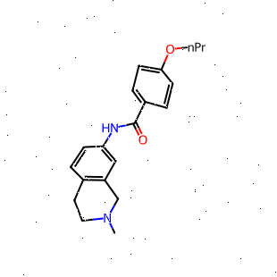 CCCOc1ccc(C(=O)Nc2ccc3c(c2)CN(C)CC3)cc1